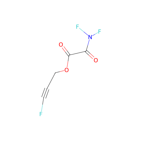 O=C(OCC#CF)C(=O)N(F)F